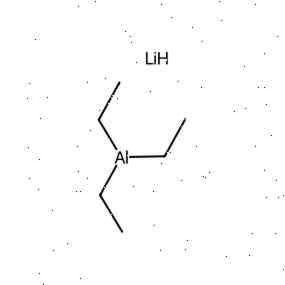 C[CH2][Al]([CH2]C)[CH2]C.[LiH]